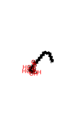 CCCCC/C=C\C/C=C\CCCCCCCC(=O)OCC1OC(O)C(O)C(O)C1O